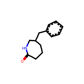 O=C1CCCC(Cc2ccccc2)CN1